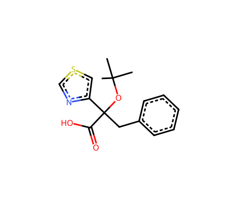 CC(C)(C)OC(Cc1ccccc1)(C(=O)O)c1cscn1